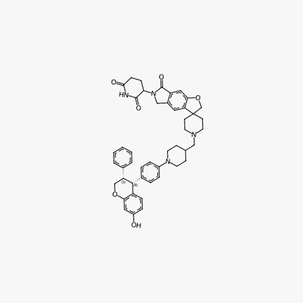 O=C1CCC(N2Cc3cc4c(cc3C2=O)OCC42CCN(CC3CCN(c4ccc([C@@H]5c6ccc(O)cc6OC[C@@H]5c5ccccc5)cc4)CC3)CC2)C(=O)N1